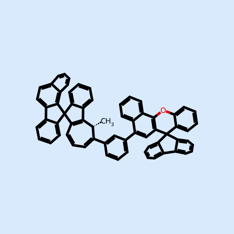 C[C@@H]1C(c2cccc(-c3cc4c(c5ccccc35)Oc3ccccc3C43c4ccccc4-c4ccccc43)c2)=CC=CC2=C1c1ccccc1C21c2ccccc2-c2ccc3ccccc3c21